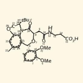 COc1cccc([C@H]2O[C@H](CC(=O)NCCC(=O)O)C(=O)N3c4c(cc(C)cc42)OC[C@H]3C(C)(C)C)c1OC